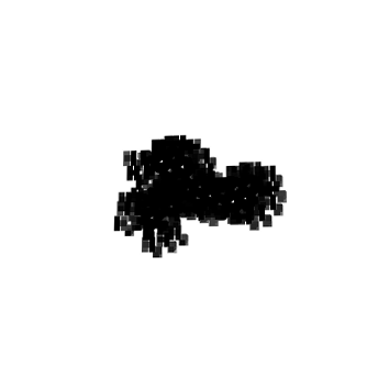 Bc1c(B)c(B)c2c(c1B)-c1c(B)c(B)c(-c3c(B)c(-c4c(B)c(B)c(-c5c(B)c(B)c6c(B)c(B)c7c(B)c(B)c(B)c8c(B)c(B)c5c6c78)c(B)c4B)c(B)c(-c4c(B)c(B)c5c(B)c(B)c6c(B)c(B)c(B)c7c(B)c(B)c4c5c67)c3B)c(B)c1C2(C(B)(B)B)C(B)(B)B